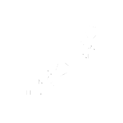 C[C@@H]1CS/C(=N\c2ccc(CCNc3nc4ccccc4s3)cc2)N1